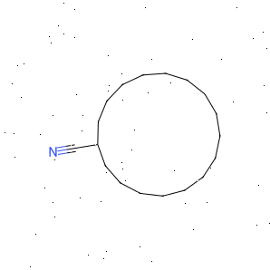 N#CC1CCCCCCCCCCCCCCCC1